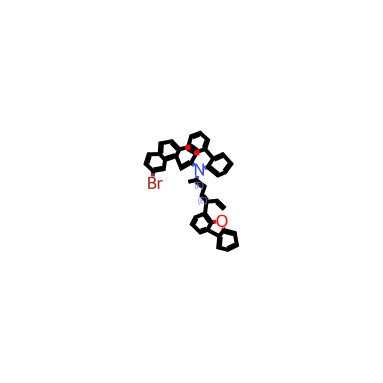 C=C/C(=C\C=C(/C)N(c1ccc2ccc3ccc(Br)cc3c2c1)c1ccccc1-c1ccccc1)c1cccc2c1oc1ccccc12